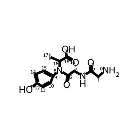 NCC(=O)NCC(=O)N(c1ccc(O)cc1)C(I)C(=O)O